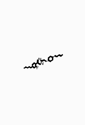 CCCCCc1ccc(-c2cnc(CC[C@H]3CC[C@H](CCCCC)CC3)nc2)c(F)c1